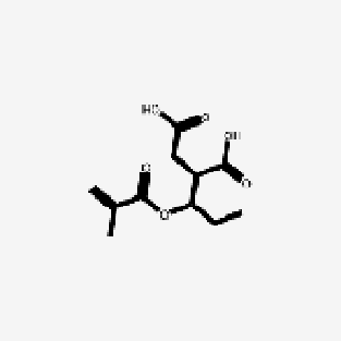 C=C(C)C(=O)OC(CC)C(CC(=O)O)C(=O)O